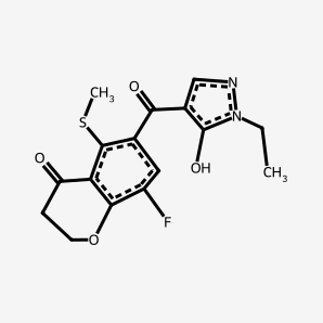 CCn1ncc(C(=O)c2cc(F)c3c(c2SC)C(=O)CCO3)c1O